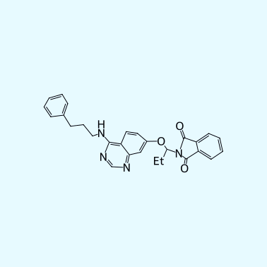 CCC(Oc1ccc2c(NCCCc3ccccc3)ncnc2c1)N1C(=O)c2ccccc2C1=O